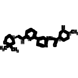 C[C@@H]1CC[C@@H](C(=O)Nc2cc(-c3cccc(NC[C@H]4CCOC(C)(C)C4)n3)ccn2)CN1